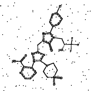 O=C(O)c1ncccc1-n1nc(Cn2nc(-c3ccc(Cl)cc3)n(C[C@@H](O)C(F)(F)F)c2=O)nc1N1CCS(=O)(=O)CC1